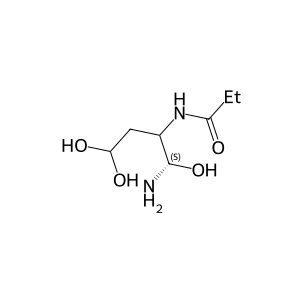 CCC(=O)NC(CC(O)O)[C@@H](N)O